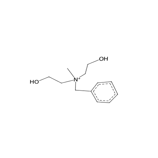 C[N+](CCO)(CCO)Cc1ccccc1